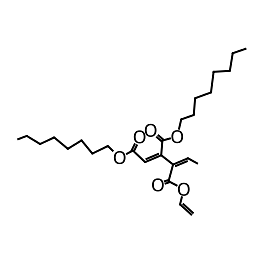 C=COC(=O)C(=CC)/C(=C/C(=O)OCCCCCCCC)C(=O)OCCCCCCCC